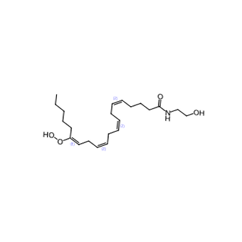 CCCCC/C(=C\C/C=C\C/C=C\C/C=C\CCCC(=O)NCCO)OO